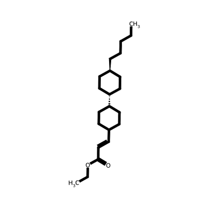 CCCCC[C@H]1CC[C@H](C2CCC(C=CC(=O)OCC)CC2)CC1